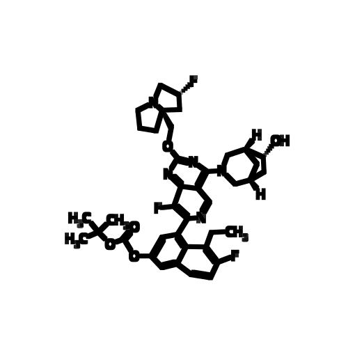 CCc1c(F)ccc2cc(OC(=O)OC(C)(C)C)cc(-c3ncc4c(N5C[C@@H]6C[C@H](C5)[C@H](O)C6)nc(OC[C@@]56CCCN5C[C@H](F)C6)nc4c3F)c12